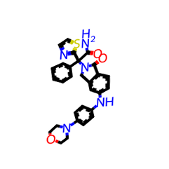 NC(=O)C(c1ccccc1)(c1nccs1)N1Cc2cc(Nc3ccc(N4CCOCC4)cc3)ccc2C1=O